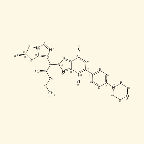 CCOC(=O)C(c1ncn2c1C[C@@H](F)C2)n1cc2c(Cl)cc(-c3ccc(N4CCOCC4)cc3)c(Cl)c2n1